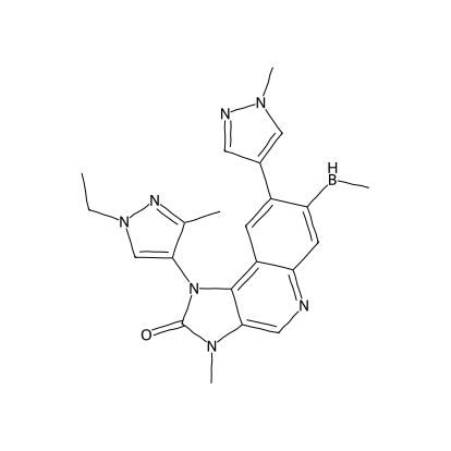 CBc1cc2ncc3c(c2cc1-c1cnn(C)c1)n(-c1cn(CC)nc1C)c(=O)n3C